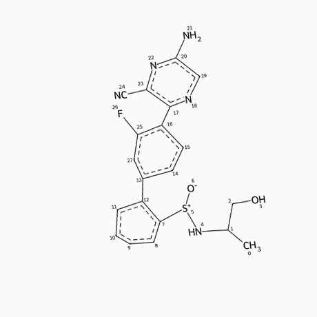 CC(CO)N[S+]([O-])c1ccccc1-c1ccc(-c2ncc(N)nc2C#N)c(F)c1